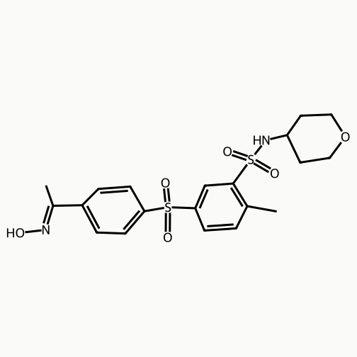 CC(=NO)c1ccc(S(=O)(=O)c2ccc(C)c(S(=O)(=O)NC3CCOCC3)c2)cc1